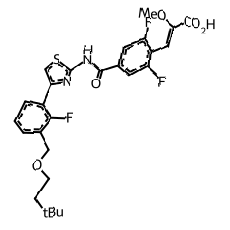 CO/C(=C\c1c(F)cc(C(=O)Nc2nc(-c3cccc(COCCC(C)(C)C)c3F)cs2)cc1F)C(=O)O